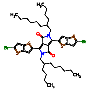 CCCCCCC(CCCC)CN1C(=O)C2=C(c3cc4sc(Br)cc4s3)N(CC(CCCC)CCCCCC)C(=O)C2=C1c1cc2sc(Br)cc2s1